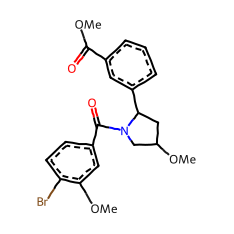 COC(=O)c1cccc(C2CC(OC)CN2C(=O)c2ccc(Br)c(OC)c2)c1